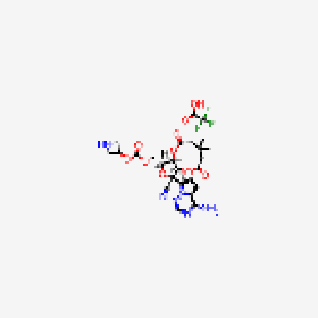 CC1(C)CC(=O)O[C@H]2[C@@H](OC(=O)C1)[C@](C#N)(c1ccc3c(N)ncnn13)O[C@@H]2COC(=O)OC1CNC1.O=C(O)C(F)(F)F